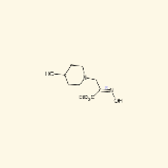 CCOC(=O)/C(CN1CCC(O)CC1)=N\O